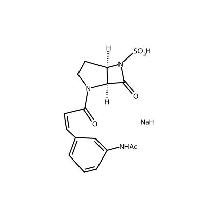 CC(=O)Nc1cccc(/C=C\C(=O)N2CC[C@@H]3[C@H]2C(=O)N3S(=O)(=O)O)c1.[NaH]